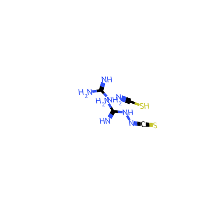 N#CS.N=C(N)N.N=C(N)NN=C=S